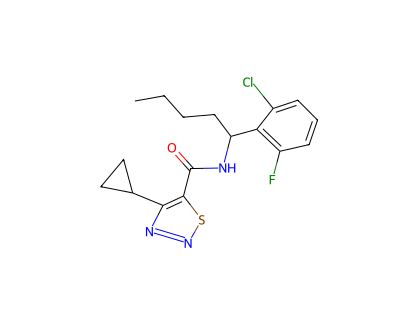 CCCCC(NC(=O)c1snnc1C1CC1)c1c(F)cccc1Cl